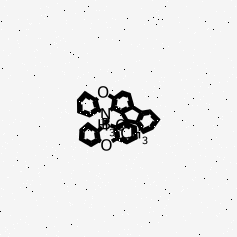 CC1(C)c2ccccc2-c2ccc3c(c21)N(B1c2ccccc2Oc2ccccc21)c1ccccc1O3